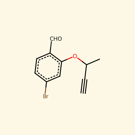 C#CC(C)Oc1cc(Br)ccc1C=O